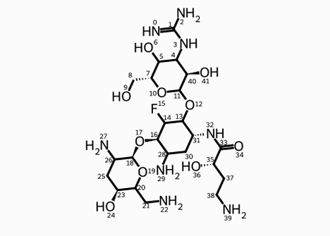 N=C(N)NC1C(O)[C@@H](CO)OC(OC2C(F)[C@H](O[C@H]3OC(CN)[C@@H](O)CC3N)C(N)C[C@H]2NC(=O)[C@@H](O)CCN)[C@@H]1O